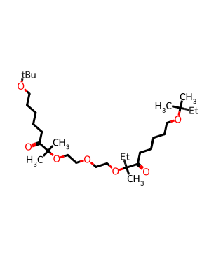 CCC(C)(C)OCCCCCC(=O)C(C)(CC)OCCOCCOC(C)(C)C(=O)CCCCCOC(C)(C)C